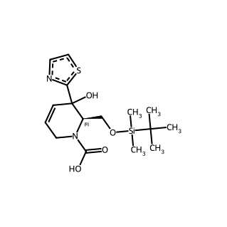 CC(C)(C)[Si](C)(C)OC[C@H]1N(C(=O)O)CC=CC1(O)c1nccs1